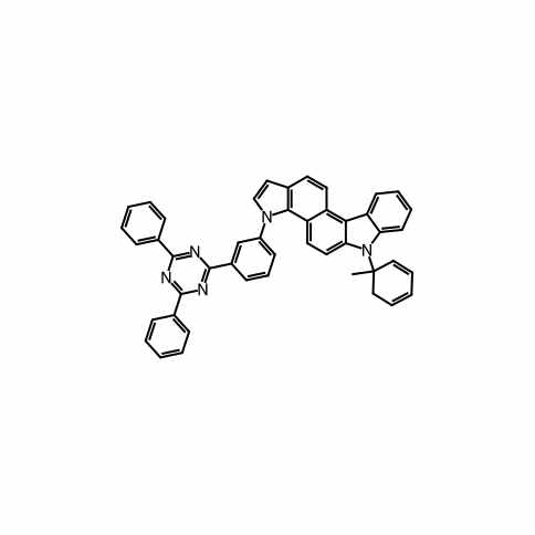 CC1(n2c3ccccc3c3c4ccc5ccn(-c6cccc(-c7nc(-c8ccccc8)nc(-c8ccccc8)n7)c6)c5c4ccc32)C=CC=CC1